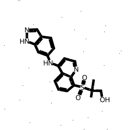 CC(C)(CO)S(=O)(=O)c1cccc2c(Nc3ccc4cn[nH]c4c3)ccnc12